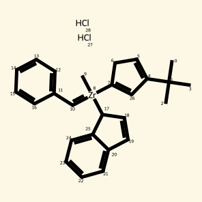 CC(C)(C)C1=CC[C]([Zr]([CH3])(=[CH]c2ccccc2)[CH]2C=Cc3ccccc32)=C1.Cl.Cl